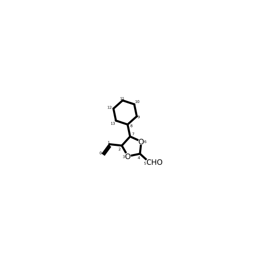 C=CC1OC(C=O)OC1C1CCCCC1